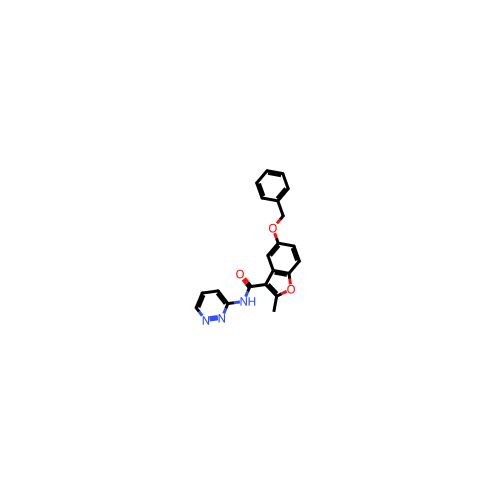 Cc1oc2ccc(OCc3ccccc3)cc2c1C(=O)Nc1cccnn1